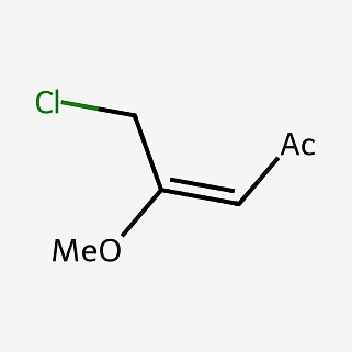 CO/C(=C/C(C)=O)CCl